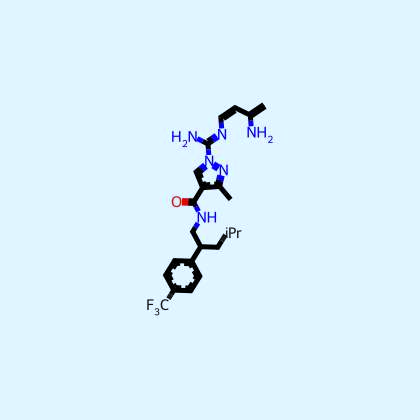 C=C(N)/C=C\N=C(/N)n1cc(C(=O)NCC(CC(C)C)c2ccc(C(F)(F)F)cc2)c(C)n1